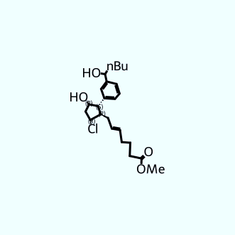 CCCCC(O)c1cccc([C@@H]2[C@@H](CC=CCCCC(=O)OC)[C@H](Cl)C[C@H]2O)c1